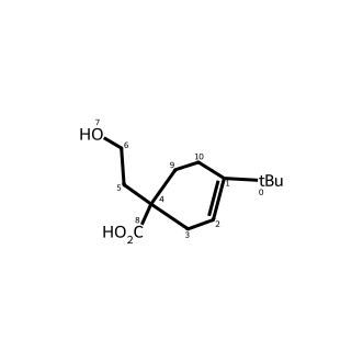 CC(C)(C)C1=CCC(CCO)(C(=O)O)CC1